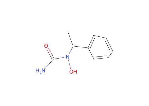 CC(c1ccccc1)N(O)C(N)=O